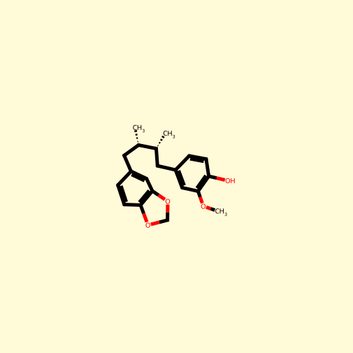 COc1cc(C[C@@H](C)[C@@H](C)Cc2ccc3c(c2)OCO3)ccc1O